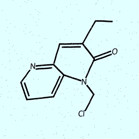 CCc1cc2ncccc2n(CCl)c1=O